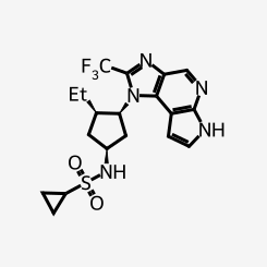 CC[C@@H]1C[C@H](NS(=O)(=O)C2CC2)C[C@@H]1n1c(C(F)(F)F)nc2cnc3[nH]ccc3c21